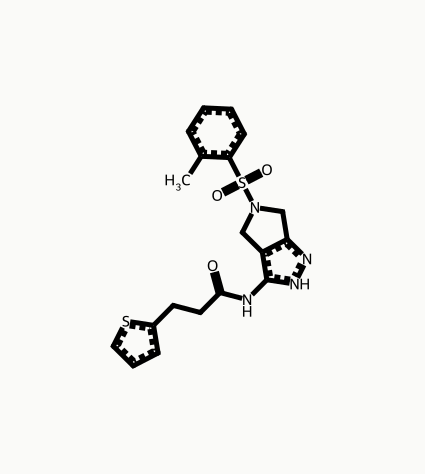 Cc1ccccc1S(=O)(=O)N1Cc2n[nH]c(NC(=O)CCc3cccs3)c2C1